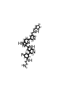 CN(C)CCNc1cc(F)cc(-c2cncc3[nH]c(-c4n[nH]c5ccc(-c6cncc(CNCC7CCCC7)c6)nc45)cc23)c1